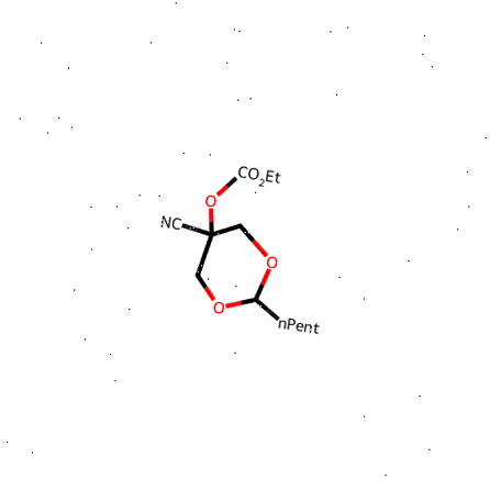 CCCCCC1OCC(C#N)(OC(=O)OCC)CO1